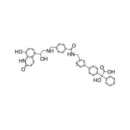 O=C(NCc1cc(-c2ccc(C(O)(C(=O)O)c3ccccc3)cc2)cs1)c1ccc(CNCC(O)c2ccc(O)c3[nH]c(=O)ccc23)cc1